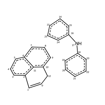 C1=Cc2cccc3cccc(c23)C1.c1ccc(Nc2ccccc2)cc1